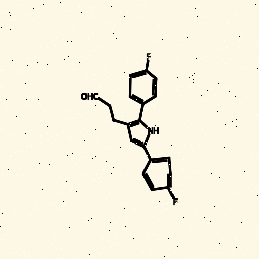 O=CCCc1cc(-c2ccc(F)cc2)[nH]c1-c1ccc(F)cc1